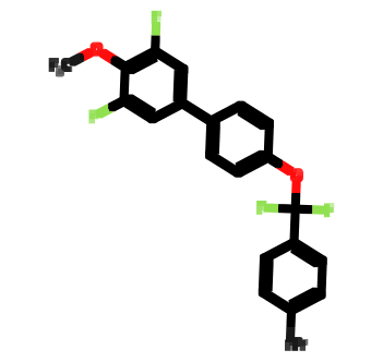 CCCc1ccc(C(F)(F)Oc2ccc(-c3cc(F)c(OC(F)(F)F)c(F)c3)cc2)cc1